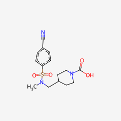 CN(CC1CCN(C(=O)O)CC1)S(=O)(=O)c1ccc(C#N)cc1